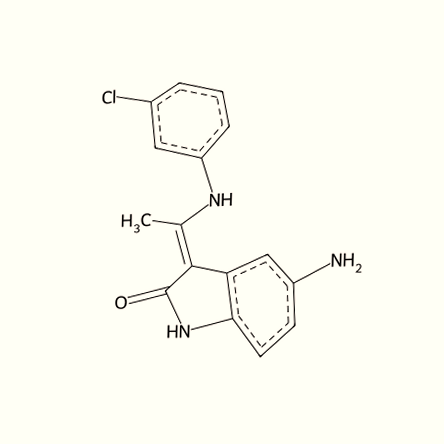 CC(Nc1cccc(Cl)c1)=C1C(=O)Nc2ccc(N)cc21